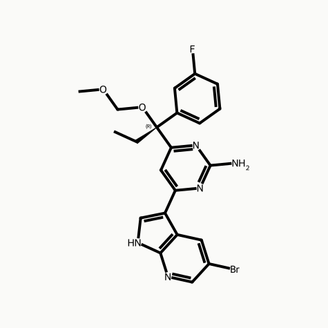 CC[C@@](OCOC)(c1cccc(F)c1)c1cc(-c2c[nH]c3ncc(Br)cc23)nc(N)n1